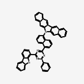 c1ccc(-c2nc(-c3cccc4c(-n5c6cc7ccccc7cc6c6cc7ccccc7cc65)cccc34)nc(-c3cccc4c3sc3ccccc34)n2)cc1